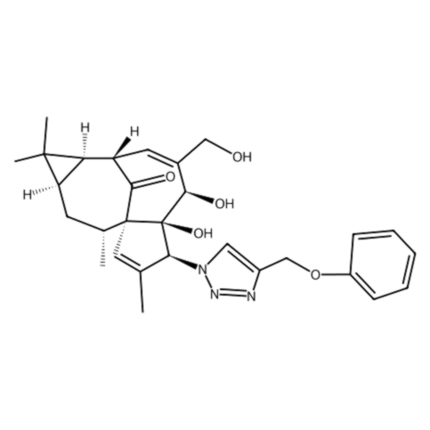 CC1=C[C@]23C(=O)[C@@H](C=C(CO)[C@@H](O)[C@]2(O)[C@H]1n1cc(COc2ccccc2)nn1)[C@H]1[C@@H](C[C@H]3C)C1(C)C